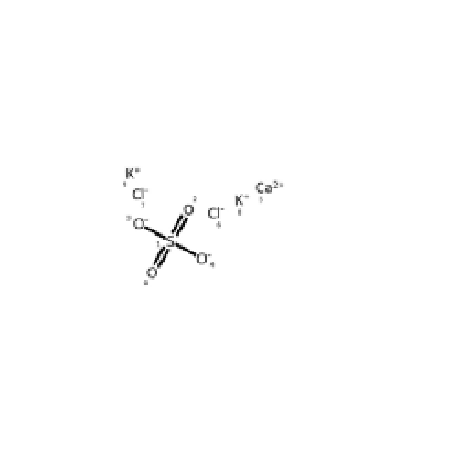 O=S(=O)([O-])[O-].[Ca+2].[Cl-].[Cl-].[K+].[K+]